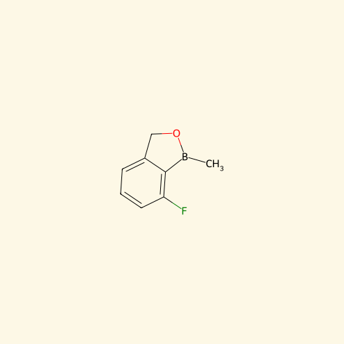 CB1OCc2cccc(F)c21